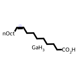 CCCCCCCC/C=C\CCCCCCCC(=O)O.[GaH3]